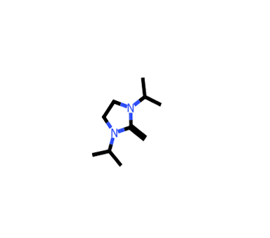 C=C1N(C(C)C)CCN1C(C)C